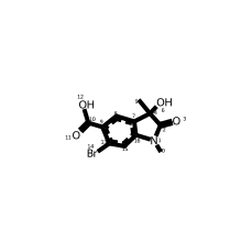 CN1C(=O)C(C)(O)c2cc(C(=O)O)c(Br)cc21